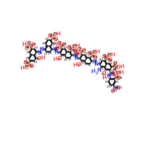 Nc1c(N=Nc2ccc3c(O)c(N=Nc4ccc5c(O)c(N=Nc6ccc(N=Nc7cc(S(=O)(=O)O)cc8cc(S(=O)(=O)O)cc(O)c78)c7ccc(S(=O)(=O)O)cc67)c(S(=O)(=O)O)cc5c4S(=O)(=O)O)c(S(=O)(=O)O)cc3c2S(=O)(=O)O)cc(S(=O)(=O)O)c2cc(S(=O)(=O)O)c(N=Nc3ccc([N+](=O)[O-])cc3S(=O)(=O)O)c(O)c12